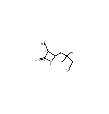 CC(C)(CO)SC1NC(=O)C1N